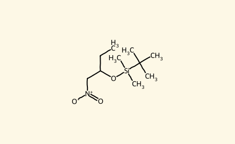 CCC(C[N+](=O)[O-])O[Si](C)(C)C(C)(C)C